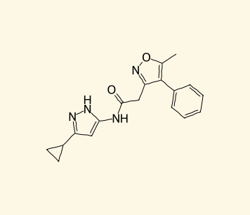 Cc1onc(CC(=O)Nc2cc(C3CC3)n[nH]2)c1-c1ccccc1